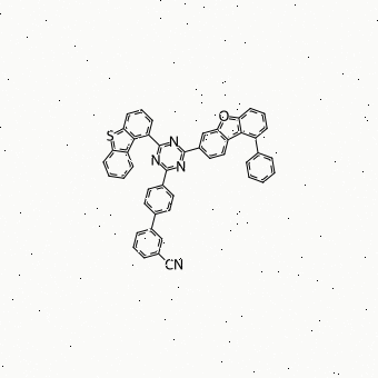 N#Cc1cccc(-c2ccc(-c3nc(-c4ccc5c(c4)oc4cccc(-c6ccccc6)c45)nc(-c4cccc5sc6ccccc6c45)n3)cc2)c1